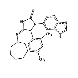 Cc1ccc(C2/C(=N\C3CCCCCC3)NC(=O)N2c2ccc3nc[nH]c3c2)c(C)c1